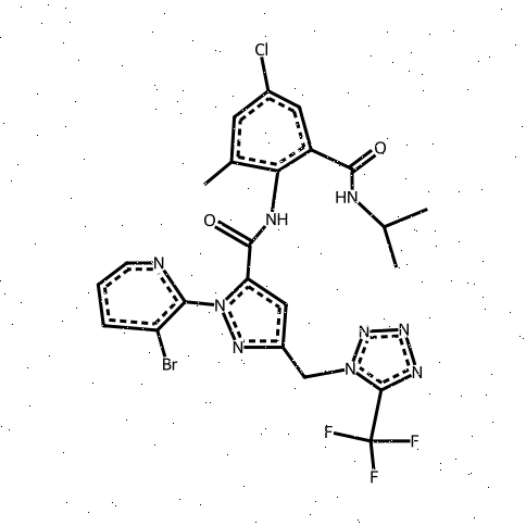 Cc1cc(Cl)cc(C(=O)NC(C)C)c1NC(=O)c1cc(Cn2nnnc2C(F)(F)F)nn1-c1ncccc1Br